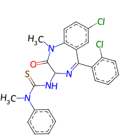 CN(C(=S)NC1N=C(c2ccccc2Cl)c2cc(Cl)ccc2N(C)C1=O)c1ccccc1